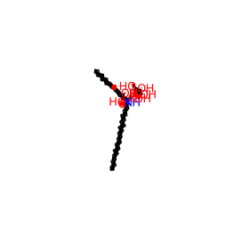 CCCCCCCCCCCCCCCCCCCCCCCC(=O)N[C@@H](CO[C@H]1O[C@H](CO)[C@H](O)[C@H](O)[C@H]1O)[C@H](O)[C@H](O)CCCCCCCCCCCCC